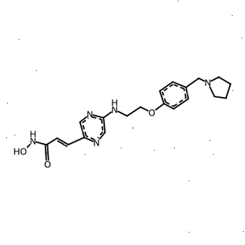 O=C(/C=C/c1cnc(NCCOc2ccc(CN3CCCC3)cc2)cn1)NO